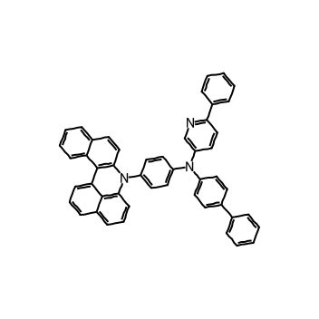 c1ccc(-c2ccc(N(c3ccc(N4c5ccc6ccccc6c5-c5cccc6cccc4c56)cc3)c3ccc(-c4ccccc4)nc3)cc2)cc1